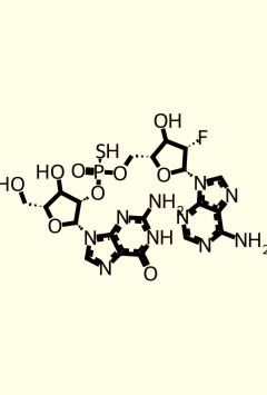 Nc1nc2c(ncn2[C@@H]2O[C@H](CO)C(O)[C@@H]2O[P@](=O)(S)OC[C@H]2O[C@@H](n3cnc4c(N)ncnc43)[C@@H](F)C2O)c(=O)[nH]1